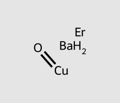 [BaH2].[Er].[O]=[Cu]